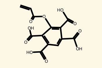 C=CC(=O)Oc1c(C(=O)O)c(C(=O)O)cc(C(=O)O)c1C(=O)O